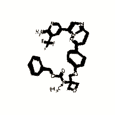 CN(C(=O)OCc1ccccc1)C1(COc2ccc(-c3ccc4ncc(-c5cnc(N)c(C(F)(F)F)c5)n4n3)cc2)COC1